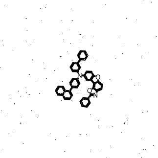 c1ccc(-c2cccc(N(c3ccc(-c4cccc5ccccc45)cc3)c3ccc4oc5ccc6nc(-c7ccccc7)oc6c5c4c3)c2)cc1